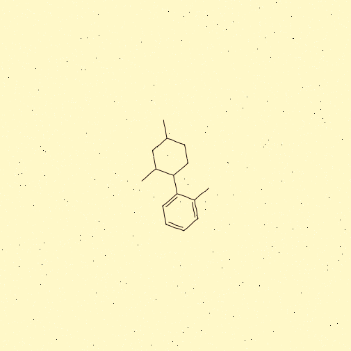 Cc1ccccc1C1CCC(C)CC1C